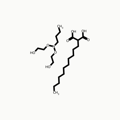 CCCCCCCCCCCC(C(=O)O)C(=O)O.CCCCN(OCCO)OCCO